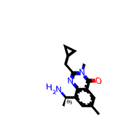 Cc1cc([C@@H](C)N)c2nc(CC3CC3)n(C)c(=O)c2c1